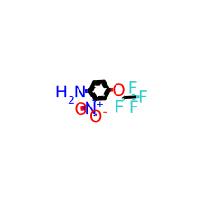 Nc1ccc(OC(F)C(F)(F)F)cc1[N+](=O)[O-]